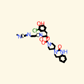 CN=C=C=NC=C=C=NC(=O)[C@@H](Cc1ccc(O)c(Cl)c1)OC(=O)N1CCC(N2CCc3ccccc3NC2=O)CC1